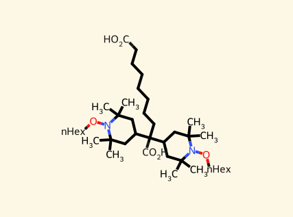 CCCCCCON1C(C)(C)CC(C(CCCCCCCC(=O)O)(C(=O)O)C2CC(C)(C)N(OCCCCCC)C(C)(C)C2)CC1(C)C